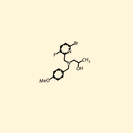 COc1ccc(CN(Cc2nc(Br)ccc2F)CC(C)O)cc1